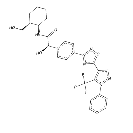 O=C(N[C@@H]1CCCC[C@@H]1CO)[C@H](O)c1ccc(-c2noc(-c3cnn(-c4ccccc4)c3C(F)(F)F)n2)cc1